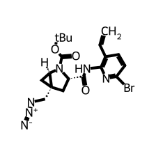 C=Cc1ccc(Br)nc1NC(=O)[C@@H]1C[C@@]2(CN=[N+]=[N-])C[C@H]2N1C(=O)OC(C)(C)C